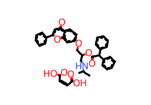 CC(C)NCC(COc1ccc2c(=O)cc(-c3ccccc3)oc2c1)OC(=O)C(c1ccccc1)c1ccccc1.O=C(O)/C=C\C(=O)O